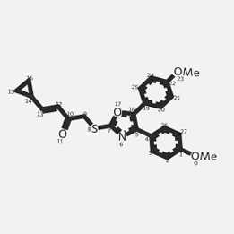 COc1ccc(-c2nc(SCC(=O)/C=C/C3CC3)oc2-c2ccc(OC)cc2)cc1